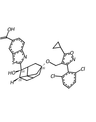 O=C(O)c1ccc2nc([C@]3(O)C4CC5C[C@H]3C[C@](OCc3c(-c6c(Cl)cccc6Cl)noc3C3CC3)(C5)C4)sc2c1